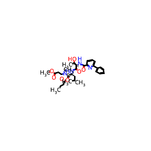 CCCC(=O)OB([C@H](CC(C)C)NC(=O)[C@@H](NC(=O)c1cccc(-c2ccccc2)n1)[C@@H](C)O)N(C)CCC(=O)OC